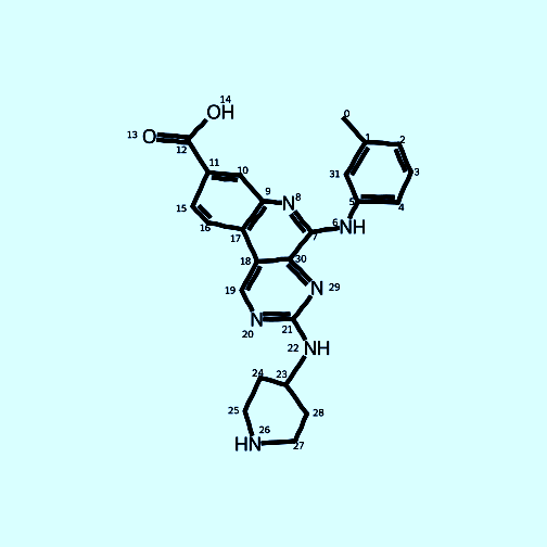 Cc1cccc(Nc2nc3cc(C(=O)O)ccc3c3cnc(NC4CCNCC4)nc23)c1